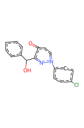 O=c1ccn(-c2ccc(Cl)cc2)nc1C(O)c1c[c]ccc1